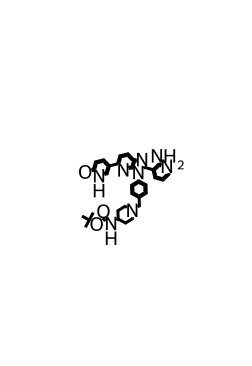 CC(C)(C)OC(=O)NC1CCN(Cc2ccc(-n3c(-c4cccnc4N)nc4ccc(-c5ccc(=O)[nH]c5)nc43)cc2)CC1